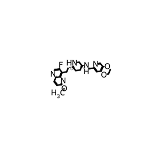 COc1ccc2ncc(F)c(CC[C@H]3CC[C@@H](NCc4cc5c(cn4)OCCO5)CN3)c2n1